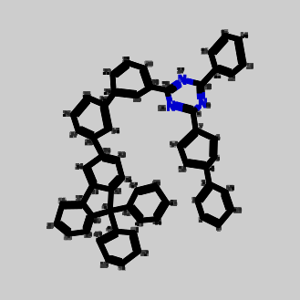 c1ccc(-c2ccc(-c3nc(-c4ccccc4)nc(-c4cccc(-c5cccc(-c6ccc7c(c6)-c6ccccc6C7(c6ccccc6)c6ccccc6)c5)c4)n3)cc2)cc1